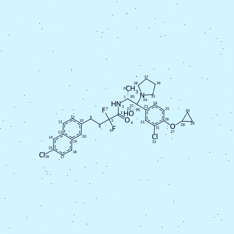 C[C@@H](NC(=O)C(F)(F)CCc1ccc2cc(Cl)ccc2c1)[C@](O)(c1ccc(OC2CC2)c(Cl)c1)N1CCCC1